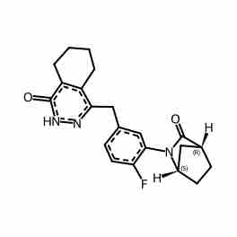 O=C1[C@@H]2CC[C@@H](C2)N1c1cc(Cc2n[nH]c(=O)c3c2CCCC3)ccc1F